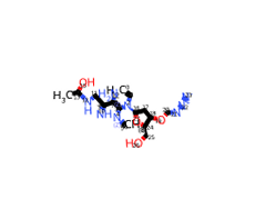 C=CN(C(/N=C\C)=C(\N)C(=N)CNC(C)O)[C@H]1CC(OCN=[N+]=[N-])[C@@H](CO)O1